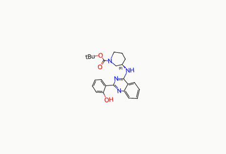 CC(C)(C)OC(=O)N1CCC[C@@H](Nc2nc(-c3ccccc3O)nc3ccccc23)C1